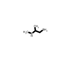 BCC(C)BC